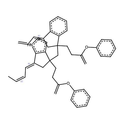 C=C/C=C1\CC(CCC(=C)Oc2ccccc2)(CC2(CCC(=C)Oc3ccccc3)C/C(=C\C=C/C)c3[nH]ccc32)c2ccccc21